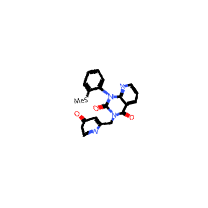 CSc1ccccc1-n1c(=O)n(CC2=CC(=O)CC=N2)c(=O)c2cccnc21